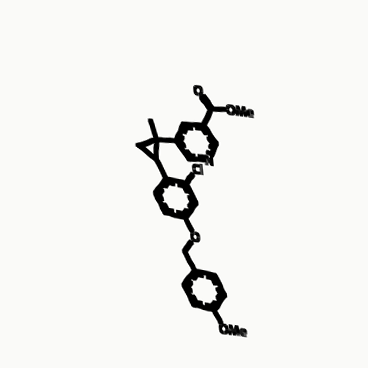 COC(=O)c1cncc(C2(C)CC2c2ccc(OCc3ccc(OC)cc3)cc2Cl)c1